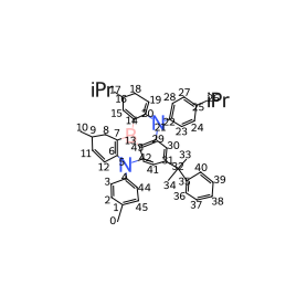 Cc1ccc(N2C3=C(CC(C)C=C3)B3C4=CC(C(C)C)CC=C4N(c4ccc(C(C)C)cc4)c4cc(C(C)(C)c5ccccc5)cc2c43)cc1